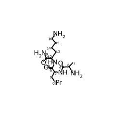 CC(C)CC(NC(=O)C(C)N)C(=O)NC(CCCCN)C(N)=O